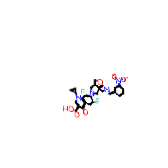 O=C(O)c1cn(C2CC2)c2c(F)c(N3CC4COCC4(CN=Cc4cccc([N+](=O)[O-])c4)C3)c(F)cc2c1=O